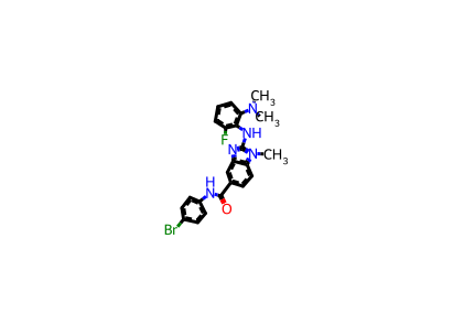 CN(C)c1cccc(F)c1Nc1nc2cc(C(=O)Nc3ccc(Br)cc3)ccc2n1C